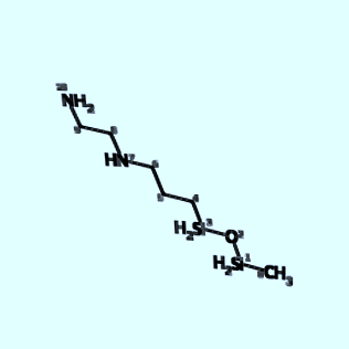 C[SiH2]O[SiH2]CCCNCCN